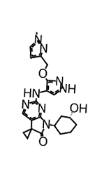 Cn1ccc(COc2n[nH]cc2Nc2ncc3c(n2)N([C@@H]2CCC[C@@H](O)C2)C(=O)C32CC2)n1